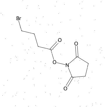 O=C(CCCBr)ON1C(=O)CCC1=O